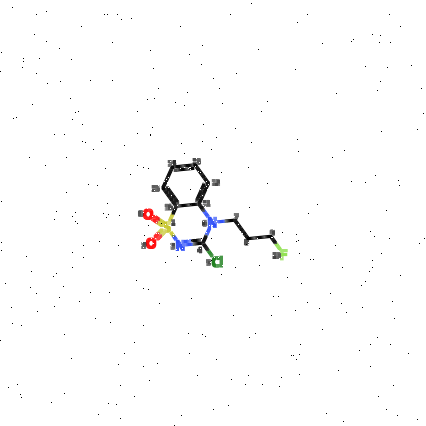 O=S1(=O)N=C(Cl)N(CCCF)c2ccccc21